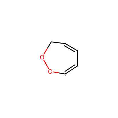 [C]1=CC=CCOO1